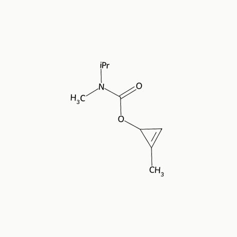 CC1=CC1OC(=O)N(C)C(C)C